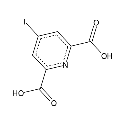 O=C(O)c1cc(I)cc(C(=O)O)n1